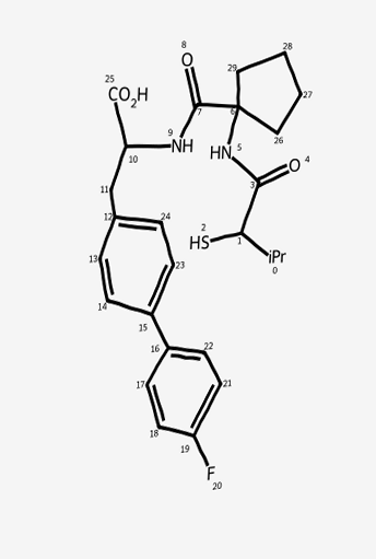 CC(C)C(S)C(=O)NC1(C(=O)NC(Cc2ccc(-c3ccc(F)cc3)cc2)C(=O)O)CCCC1